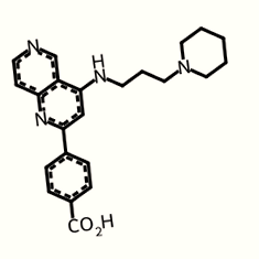 O=C(O)c1ccc(-c2cc(NCCCN3CCCCC3)c3cnccc3n2)cc1